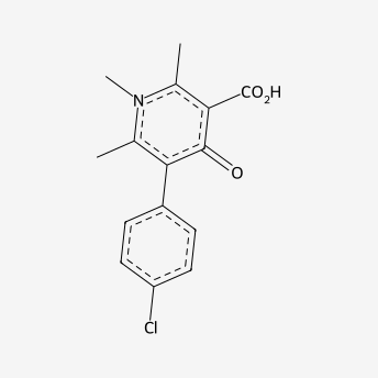 Cc1c(C(=O)O)c(=O)c(-c2ccc(Cl)cc2)c(C)n1C